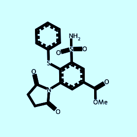 COC(=O)c1cc(N2C(=O)CCC2=O)c(Sc2ccccc2)c(S(N)(=O)=O)c1